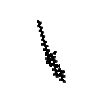 CCCCCCCCCCCCCCOc1ccc(CC(=O)NCc2cc[n+](CCC)cc2)c(Cl)c1.[I-]